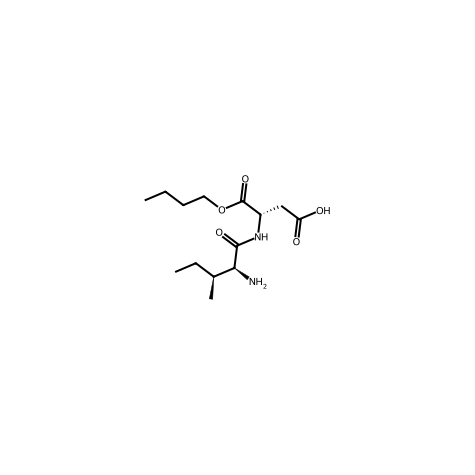 CCCCOC(=O)[C@H](CC(=O)O)NC(=O)[C@@H](N)[C@@H](C)CC